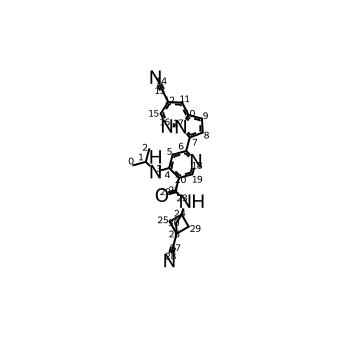 CC(C)Nc1cc(-c2ccc3cc(C#N)cnn23)ncc1C(=O)NC12CC(C#N)(C1)C2